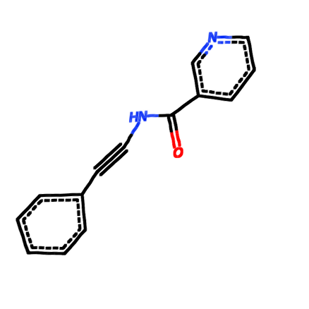 O=C(NC#Cc1ccccc1)c1cccnc1